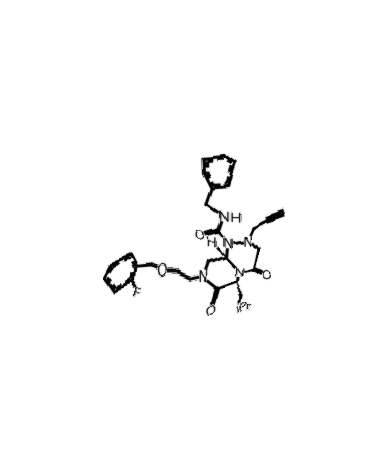 C#CCN1CC(=O)N2[C@@H](CC(C)C)C(=O)N(CCOCc3ccccc3F)C[C@@H]2N1C(=O)NCc1ccccc1